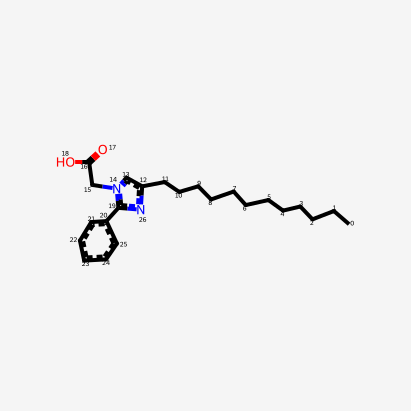 CCCCCCCCCCCCc1cn(CC(=O)O)c(-c2ccccc2)n1